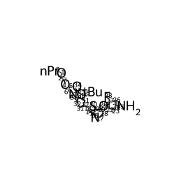 CCCOCCOCCN(Cc1ccc(-c2cc3nccc(Oc4ccc(N)cc4F)c3s2)cc1)C(=O)OC(C)(C)C